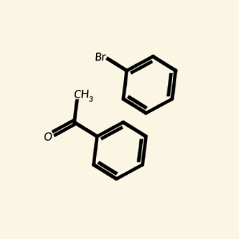 Brc1ccccc1.CC(=O)c1ccccc1